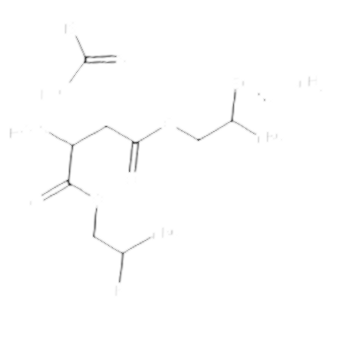 CC(=S)S.CCCCC(CC)COC(=O)CC(C(=O)OCC(CC)CCCC)S(=O)(=O)O.[NaH].[SnH2]